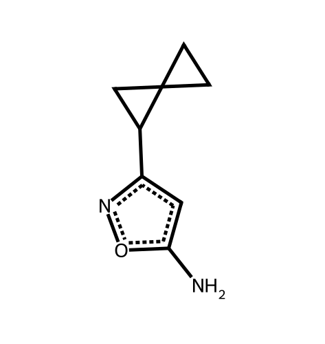 Nc1cc(C2CC23CC3)no1